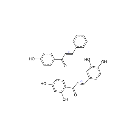 O=C(/C=C/c1ccc(O)c(O)c1)c1ccc(O)cc1O.O=C(/C=C/c1ccccc1)c1ccc(O)cc1